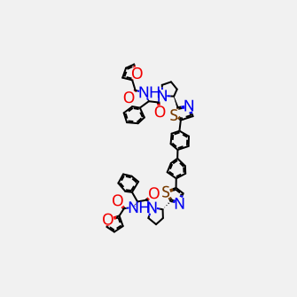 O=C(N[C@@H](C(=O)N1CCC[C@H]1c1ncc(-c2ccc(-c3ccc(-c4cnc([C@@H]5CCCN5C(=O)[C@H](NC(=O)c5ccco5)c5ccccc5)s4)cc3)cc2)s1)c1ccccc1)c1ccco1